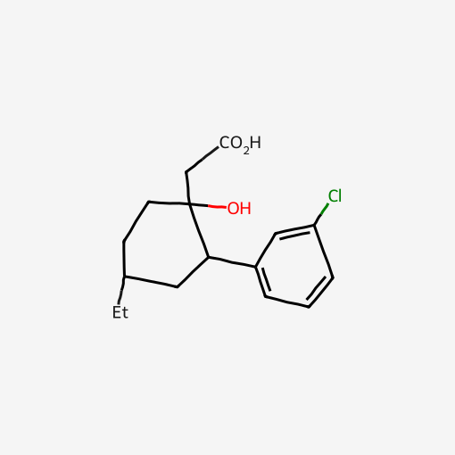 CCC1CCC(O)(CC(=O)O)C(c2cccc(Cl)c2)C1